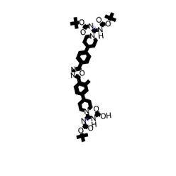 Cc1cc(C2CCN(/C(=N/C(=O)OC(C)(C)C)NC(=O)O)CC2)ccc1-c1nnc(-c2ccc(C3CCN(/C(=N\C(=O)OC(C)(C)C)NC(=O)OC(C)(C)C)CC3)cc2)o1